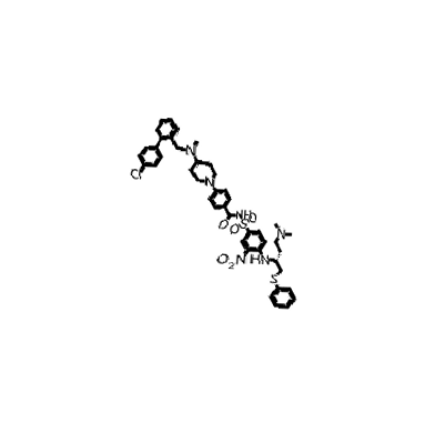 CN(C)CC[C@H](CSc1ccccc1)Nc1ccc(S(=O)(=O)NC(=O)c2ccc(N3CCC(N(C)Cc4ccccc4-c4ccc(Cl)cc4)CC3)cc2)cc1[N+](=O)[O-]